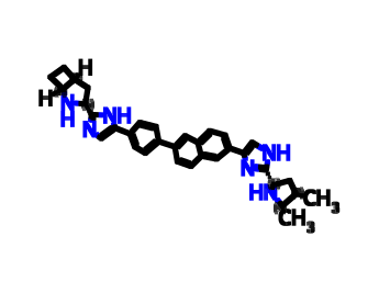 C[C@@H]1C[C@@H](c2nc(-c3ccc4cc(-c5ccc(-c6cnc([C@@H]7C[C@H]8CC[C@H]8N7)[nH]6)cc5)ccc4c3)c[nH]2)N[C@@H]1C